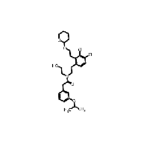 CC(C)Oc1cccc(CC(=O)N(CCO)CCc2ccc(Cl)c(Cl)c2CCOC2CCCCO2)c1